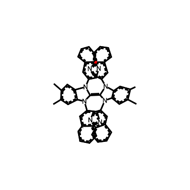 Cc1cc2c(cc1C)N(c1cnc3ccccc3c1)C(=C1N(c3cnc4ccccc4c3)c3cc(C)c(C)cc3N1c1cnc3ccccc3c1)N2c1cnc2ccccc2c1